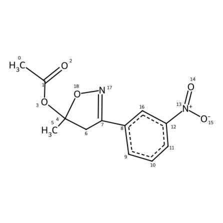 CC(=O)OC1(C)CC(c2cccc([N+](=O)[O-])c2)=NO1